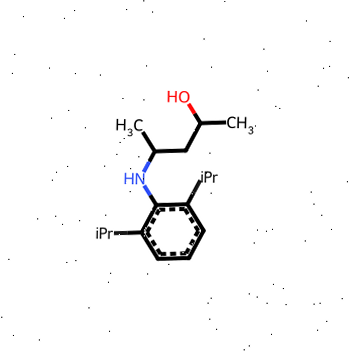 CC(O)CC(C)Nc1c(C(C)C)cccc1C(C)C